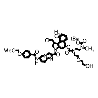 COCOc1ccc(C(=O)Nc2ccc3nc(C(=O)N4CC(CCl)c5c4cc(OC(=O)N(CCOCCO)CCN(C)C(=O)OC(C)(C)C)c4cccc(C)c54)cn3c2)cc1